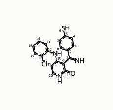 N=C(c1ccc(S)cc1)c1c(Nc2ccccc2Cl)cc[nH]c1=O